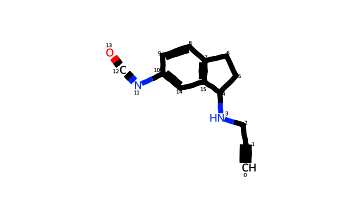 C#CCNC1CCc2ccc(N=C=O)cc21